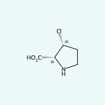 O=C(O)[C@H]1NCC[C@H]1Cl